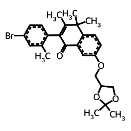 CC1=C(c2ccc(Br)cc2C)C(=O)c2cc(OCC3COC(C)(C)O3)ccc2C1(C)C